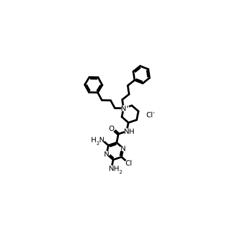 Nc1nc(N)c(C(=O)NC2CCC[N+](CCCc3ccccc3)(CCCc3ccccc3)C2)nc1Cl.[Cl-]